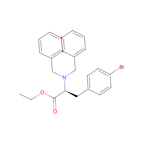 CCOC(=O)[C@H](Cc1ccc(Br)cc1)N(Cc1ccccc1)Cc1ccccc1